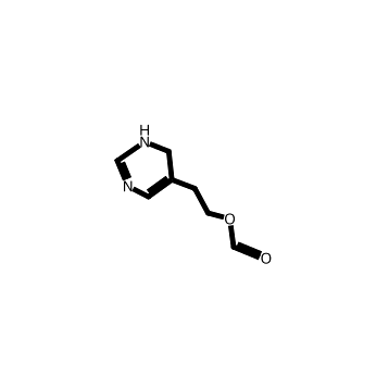 O=COCCC1=CN=CNC1